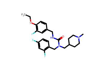 CN1CCC(CN(Cc2ccc(F)cc2F)C(=O)NCc2ccc(OCC(F)(F)F)c(F)c2)CC1